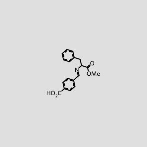 COC(=O)C(Cc1ccccc1)/N=C/c1ccc(C(=O)O)cc1